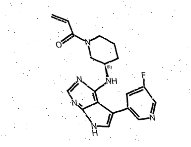 C=CC(=O)N1CCC[C@@H](Nc2ncnc3[nH]cc(-c4cncc(F)c4)c23)C1